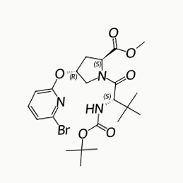 COC(=O)[C@@H]1C[C@@H](Oc2cccc(Br)n2)CN1C(=O)[C@@H](NC(=O)OC(C)(C)C)C(C)(C)C